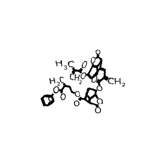 C=C(C)C(=O)OC1C2CC3C1OC(=O)C3C2CC(=C)C(=O)OC1C2CC3C1OC(=O)C3C2C(=O)OCCC(=C)C(=O)Oc1cc2ccc1o2